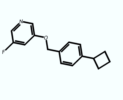 Fc1cncc(OCc2ccc(C3CCC3)cc2)c1